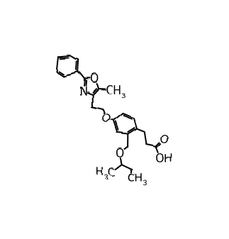 CCC(C)OCc1cc(OCCc2nc(-c3ccccc3)oc2C)ccc1CCC(=O)O